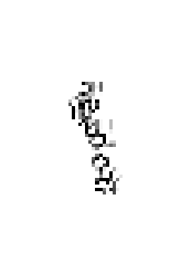 Cn1cccc(-c2ccc(-c3nc4cc(O[C@@H]5CO[C@H]6[C@@H]5OC[C@H]6O)[nH]c4cc3F)cc2)c1=O